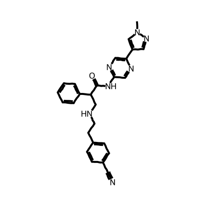 Cn1cc(-c2cnc(NC(=O)C(CNCCc3ccc(C#N)cc3)c3ccccc3)cn2)cn1